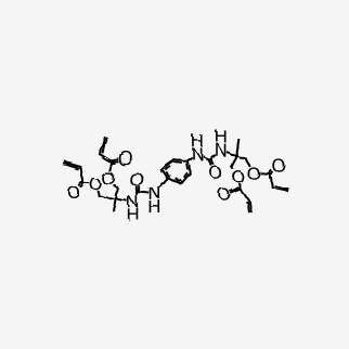 C=CC(=O)OCC(C)(COC(=O)C=C)NC(=O)Nc1ccc(NC(=O)NC(C)(COC(=O)C=C)COC(=O)C=C)cc1